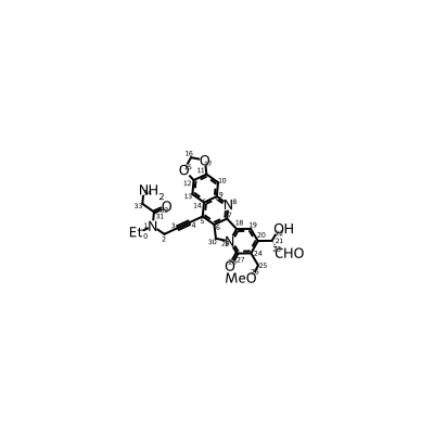 CCN(CC#Cc1c2c(nc3cc4c(cc13)OCO4)-c1cc([C@H](O)C=O)c(COC)c(=O)n1C2)C(=O)CN